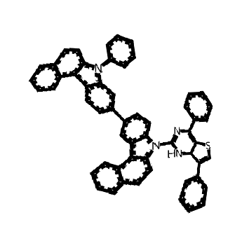 C1=C(c2ccccc2)C2NC(n3c4ccc(-c5ccc6c7c8ccccc8ccc7n(-c7ccccc7)c6c5)cc4c4c5ccccc5ccc43)=NC(c3ccccc3)=C2S1